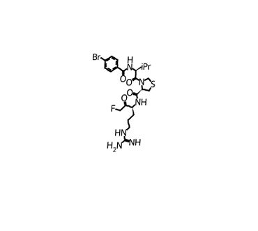 CC(C)[C@H](NC(=O)c1ccc(Br)cc1)C(=O)N1CSC[C@H]1C(=O)N[C@@H](CCCNC(=N)N)C(=O)CF